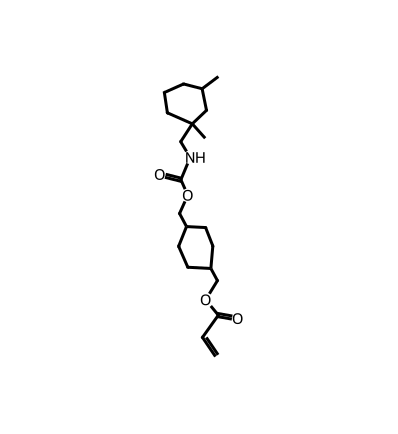 C=CC(=O)OCC1CCC(COC(=O)NCC2(C)CCCC(C)C2)CC1